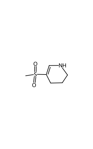 CS(=O)(=O)C1=CNCCC1